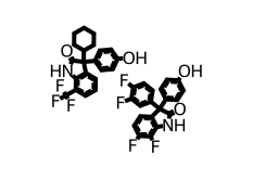 O=C1Nc2c(C(F)(F)F)cccc2C1(c1ccc(O)cc1)C1CCCCC1.O=C1Nc2c(ccc(F)c2F)C1(c1ccc(O)cc1)c1ccc(F)c(F)c1